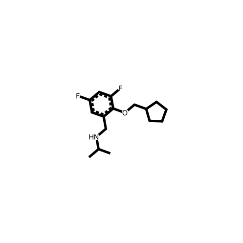 CC(C)NCc1cc(F)cc(F)c1OCC1CCCC1